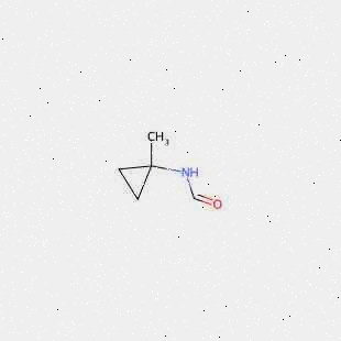 CC1(NC=O)CC1